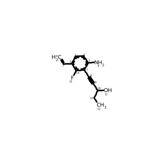 C=Cc1ccc(N)c(C#CC(O)CC)c1F